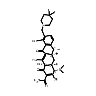 C[C@H]1c2ccc(CN3CCC(F)(F)CC3)c(O)c2C(=O)C2=C(O)[C@]3(O)C(=O)C(C(N)=O)=C(O)[C@@H](N(C)C)[C@@H]3C[C@@H]21